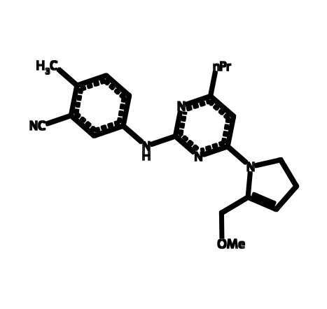 CCCc1cc(N2CCC=C2COC)nc(Nc2ccc(C)c(C#N)c2)n1